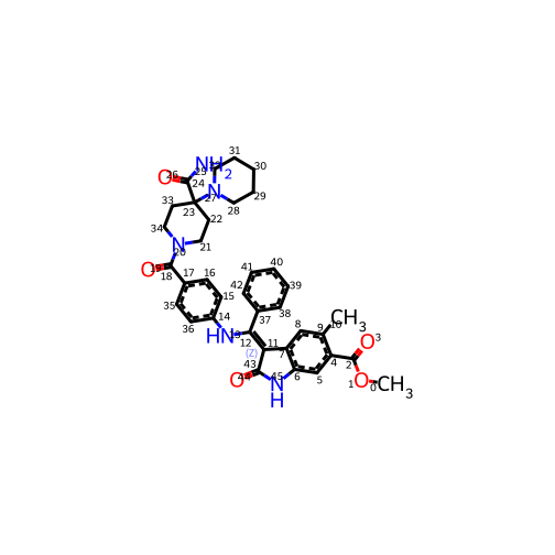 COC(=O)c1cc2c(cc1C)/C(=C(/Nc1ccc(C(=O)N3CCC(C(N)=O)(N4CCCCC4)CC3)cc1)c1ccccc1)C(=O)N2